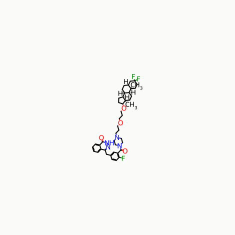 C[C@]12CCC(F)(F)C[C@@H]1CC[C@@H]1[C@@H]2CC[C@]2(C)[C@@H](OCCCOCCCN3CCN(C(=O)c4cc(Cc5n[nH]c(=O)c6ccccc56)ccc4F)CC3)CC[C@@H]12